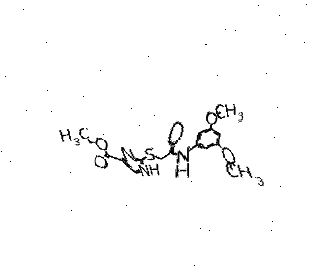 CCOC(=O)c1c[nH]c(SCC(=O)Nc2cc(OC)cc(OC)c2)n1